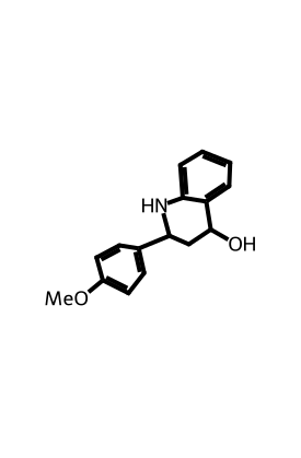 COc1ccc(C2CC(O)c3ccccc3N2)cc1